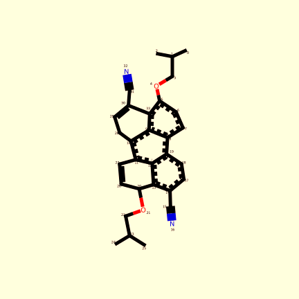 CC(C)COc1ccc2c3c(c4c5c(c(C#N)ccc52)C(OCC(C)C)C=C4)CC=C(C#N)c13